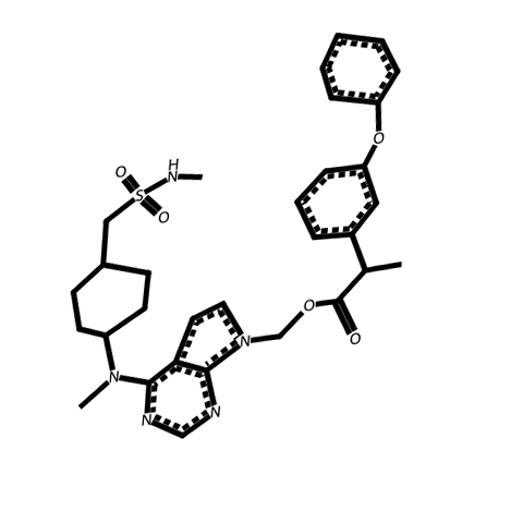 CNS(=O)(=O)CC1CCC(N(C)c2ncnc3c2ccn3COC(=O)C(C)c2cccc(Oc3ccccc3)c2)CC1